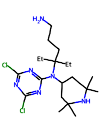 CCC(CC)(CCCN)N(c1nc(Cl)nc(Cl)n1)C1CC(C)(C)NC(C)(C)C1